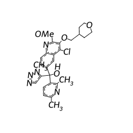 COc1nc2ccc(C(O)(c3ccc(C)nc3C)c3cnnn3C)cc2c(Cl)c1OCC1CCOCC1